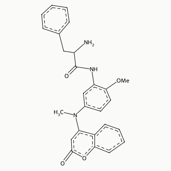 COc1ccc(N(C)c2cc(=O)oc3ccccc23)cc1NC(=O)C(N)Cc1ccccc1